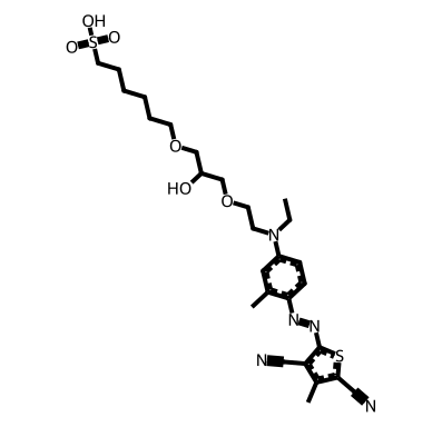 CCN(CCOCC(O)COCCCCCCS(=O)(=O)O)c1ccc(/N=N/c2sc(C#N)c(C)c2C#N)c(C)c1